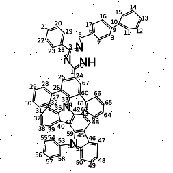 N=C(/N=C(\N=C\c1ccc(-c2ccccc2)cc1)c1ccccc1)c1cc(-c2ccccc2)c(-n2c3ccccc3c3c2ccc2c4ccccc4n(-c4ccccc4)c23)c(-c2ccccc2)c1